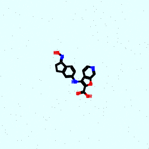 O=C(O)c1oc2cnccc2c1Nc1ccc2c(c1)CCC2=NO